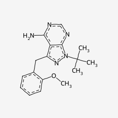 COc1ccccc1Cc1nn(C(C)(C)C)c2ncnc(N)c12